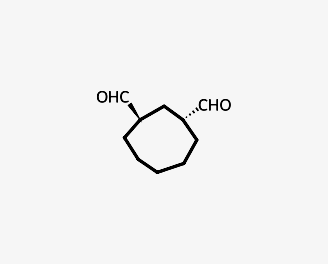 O=C[C@@H]1CCCCC[C@@H](C=O)C1